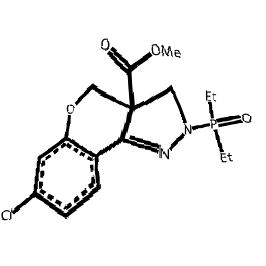 CCP(=O)(CC)N1CC2(C(=O)OC)COc3cc(Cl)ccc3C2=N1